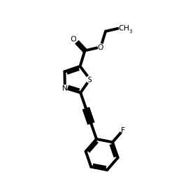 CCOC(=O)c1cnc(C#Cc2ccccc2F)s1